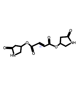 O=C1CC(OC(=O)/C=C/C(=O)OC2CNC(=O)C2)CN1